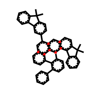 CC1(C)c2ccccc2-c2cc(-c3cccc(N(c4cccc(-c5ccccc5)c4-c4ccccc4-c4ccccc4)c4cccc5c4-c4ccccc4C5(C)C)c3)ccc21